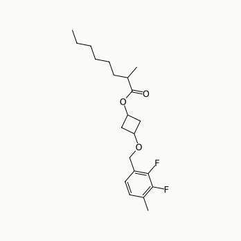 CCCCCCC(C)C(=O)OC1CC(OCc2ccc(C)c(F)c2F)C1